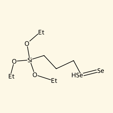 CCO[Si](CCC[SeH]=[Se])(OCC)OCC